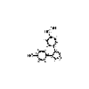 OBc1ccc(-c2cocc2-c2ccc(O)cc2)cc1